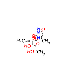 CC#CC1(O)[C@@H](O)[C@@H]([C@H](C)O)O[C@H]1n1c(C)cc(=O)[nH]c1=O